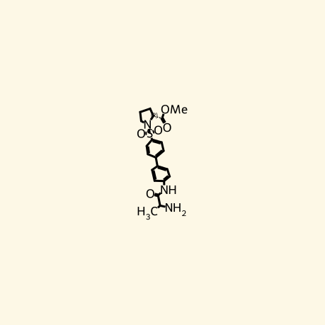 COC(=O)[C@H]1CCCN1S(=O)(=O)c1ccc(-c2ccc(NC(=O)C(C)N)cc2)cc1